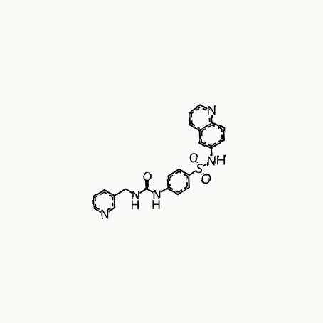 O=C(NCc1cccnc1)Nc1ccc(S(=O)(=O)Nc2ccc3ncccc3c2)cc1